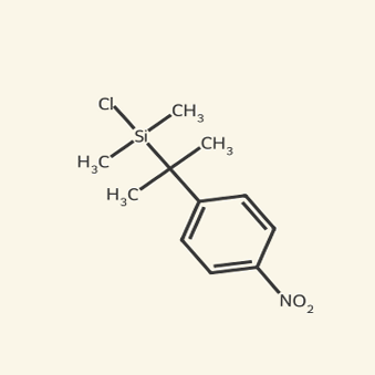 CC(C)(c1ccc([N+](=O)[O-])cc1)[Si](C)(C)Cl